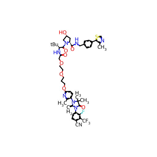 C=C1N(c2ccc(C#N)c(C(F)(F)F)c2F)C(=O)C(C)(C)N1c1ccc(OCCCOCCOCC(=O)N[C@H](C(=O)N2C[C@H](O)C[C@H]2C(=O)NCc2ccc(-c3scnc3C)cc2)C(C)(C)C)nc1C